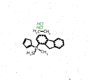 CC.Cl.Cl.[CH3][Zr]([SiH3])([C]1=CC=CC1)[c]1cccc2c1Cc1ccccc1-2